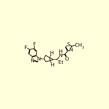 CC[C@@H](NC(=O)c1csc(C)n1)[C@H]1[C@@H]2C[C@@H](n3cnc4cc(F)c(F)cc43)C[C@@H]21